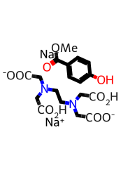 COC(=O)c1ccc(O)cc1.O=C([O-])CN(CCN(CC(=O)[O-])CC(=O)O)CC(=O)O.[Na+].[Na+]